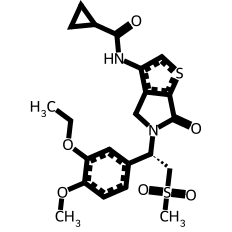 CCOc1cc([C@@H](CS(C)(=O)=O)N2Cc3c(NC(=O)C4CC4)csc3C2=O)ccc1OC